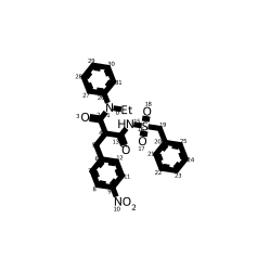 CCN(C(=O)C(Cc1ccc([N+](=O)[O-])cc1)C(=O)NS(=O)(=O)Cc1ccccc1)c1ccccc1